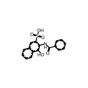 O=C(Nc1c(S(=O)(=O)O)cc2ccccc2c1O)c1ccccc1